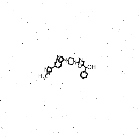 Cn1cc(-c2ccc3c(N4CCN(c5ncc(C(O)c6ccccc6)o5)CC4)cnn3c2)cn1